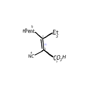 CCCCC/C(CC)=C(\C#N)C(=O)O